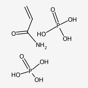 C=CC(N)=O.O=P(O)(O)O.O=P(O)(O)O